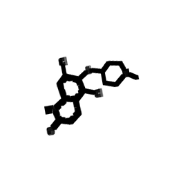 CN1CCC(Sc2c(Cl)cc3[nH]c(=O)ccc3c2Cl)CC1